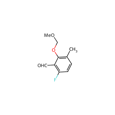 COCOc1c(C)ccc(F)c1C=O